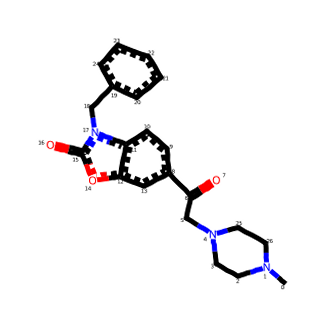 CN1CCN(CC(=O)c2ccc3c(c2)oc(=O)n3Cc2c[c]ccc2)CC1